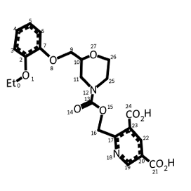 CCOc1ccccc1OCC1CN(C(=O)OCc2ncc(C(=O)O)cc2C(=O)O)CCO1